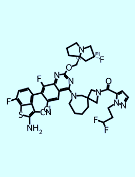 N#Cc1c(N)sc2c(F)ccc(-c3c(Cl)cc4c(N5CCCCC6(CN(C(=O)c7ccnn7CCC(F)F)C6)C5)nc(OC[C@@]56CCCN5C[C@H](F)C6)nc4c3F)c12